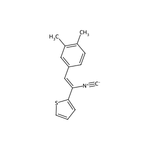 [C-]#[N+]/C(=C\c1ccc(C)c(C)c1)c1cccs1